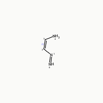 N=N/C=C\N